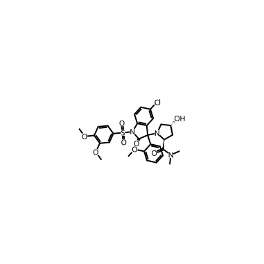 COc1ccc(S(=O)(=O)N2C(=O)C(c3ccccc3OC)(N3C[C@H](O)C[C@H]3C(=O)N(C)C)c3cc(Cl)ccc32)cc1OC